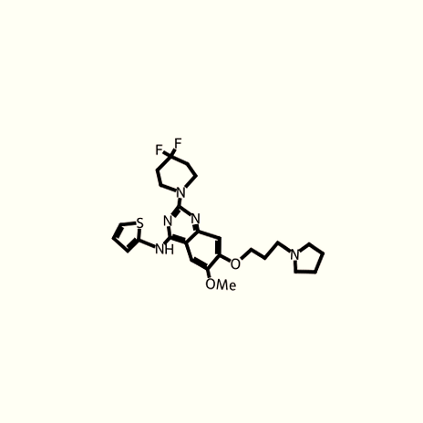 COc1cc2c(Nc3cccs3)nc(N3CCC(F)(F)CC3)nc2cc1OCCCN1CCCC1